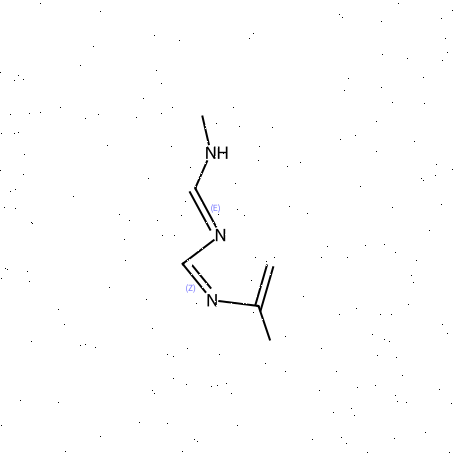 C=C(C)/N=C\N=C\NC